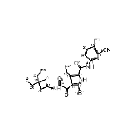 N#Cc1cc(NC(=O)c2[nH]c(Br)c(C(=O)C(=O)NC3CC(CF)(CF)C3)c2CF)ccc1F